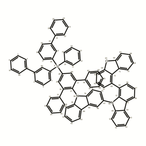 c1ccc(-c2cccc([Si](c3ccccc3)(c3cccc(-c4ccccc4)c3)c3cc(-c4ccccc4)c(-n4c5ccccc5c5cc(-n6c7ccccc7c7cccc(-c8cccc9oc%10ccccc%10c89)c76)ccc54)c(-c4ccccc4)c3)c2)cc1